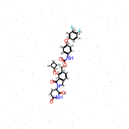 O=C1CCC(N2Cc3ccc(COC(=O)Nc4ccc(Oc5ccc(F)c(F)c5)cc4)c(OC4CCC4)c3C2=O)C(=O)N1